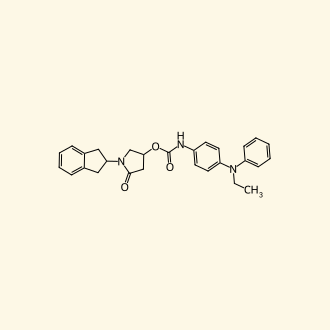 CCN(c1ccccc1)c1ccc(NC(=O)OC2CC(=O)N(C3Cc4ccccc4C3)C2)cc1